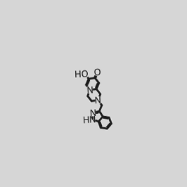 O=c1cc2n(cc1O)CCN(Cc1n[nH]c3ccccc13)C2